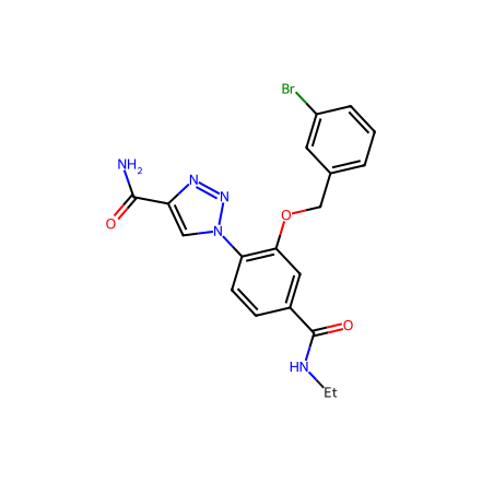 CCNC(=O)c1ccc(-n2cc(C(N)=O)nn2)c(OCc2cccc(Br)c2)c1